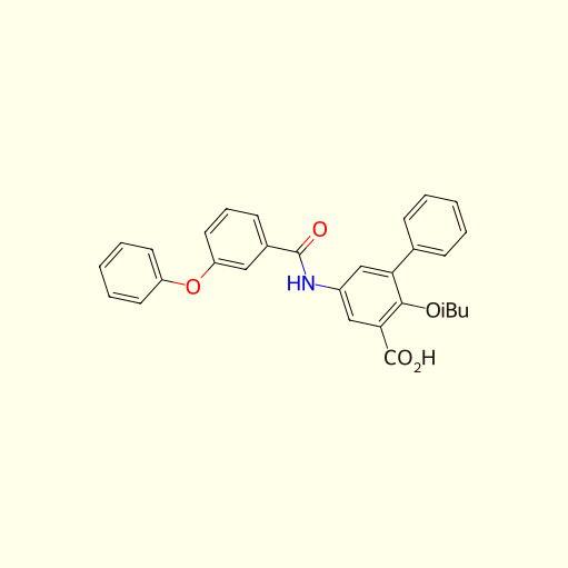 CC(C)COc1c(C(=O)O)cc(NC(=O)c2cccc(Oc3ccccc3)c2)cc1-c1ccccc1